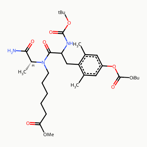 COC(=O)CCCCCN(C(=O)C(Cc1c(C)cc(OC(=O)OCC(C)C)cc1C)NC(=O)OC(C)(C)C)[C@H](C)C(N)=O